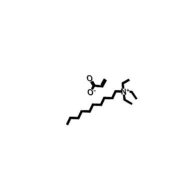 C=CC(=O)[O-].CCCCCCCCCC[N+](CC)(CC)CC